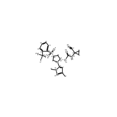 Cc1cc(N2C[C@H](S(=O)(=O)c3ccccc3C(F)(F)F)C[C@@H]2OC(=O)NC2(C#N)CC2)n(C)n1